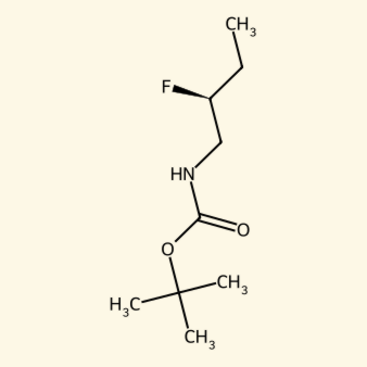 CC[C@H](F)CNC(=O)OC(C)(C)C